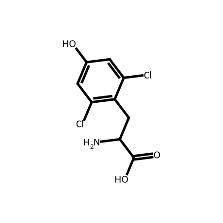 NC(Cc1c(Cl)cc(O)cc1Cl)C(=O)O